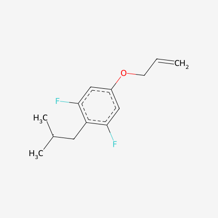 C=CCOc1cc(F)c(C[C](C)C)c(F)c1